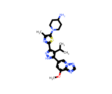 COc1cc(-c2[nH]nc(-c3nc(C)c(N4CCC(N)CC4)s3)c2C(C)C)cn2ncnc12